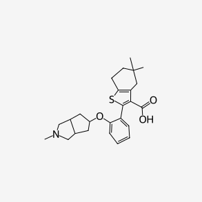 CN1CC2CC(Oc3ccccc3-c3sc4c(c3C(=O)O)CC(C)(C)CC4)CC2C1